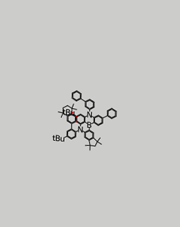 CC(C)(C)c1ccc(N2c3cc4c(cc3B3c5ccc(-c6ccccc6)cc5N(c5cccc(-c6ccccc6)c5)c5cc(C(C)(C)C)cc2c53)C(C)(C)CC4(C)C)c(-c2ccc3c(c2)C(C)(C)CCC3(C)C)c1